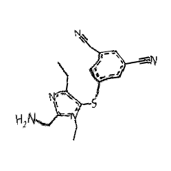 CCc1nc(CN)n(CC)c1Sc1cc(C#N)cc(C#N)c1